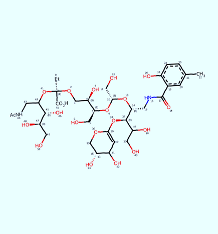 CC[C@@](OC[C@@H](O)[C@H](CO)O[C@H](CO)O[C@H](CNC(=O)c1cc(C)ccc1O)[C@H](OC1=CC(O)[C@H](O)CO1)C(O)CO)(OC(CNC(C)=O)[C@H](O)[C@H](O)CO)C(=O)O